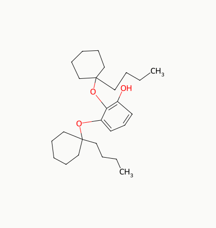 CCCCC1(Oc2cccc(O)c2OC2(CCCC)CCCCC2)CCCCC1